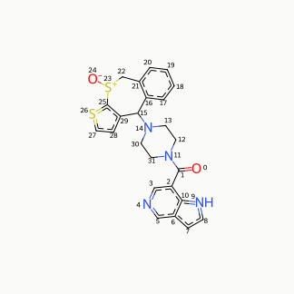 O=C(c1cncc2cc[nH]c12)N1CCN(C2c3ccccc3C[S+]([O-])c3sccc32)CC1